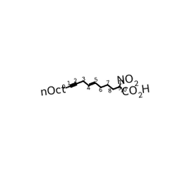 CCCCCCCCC#CCC=CCCCC(C(=O)O)[N+](=O)[O-]